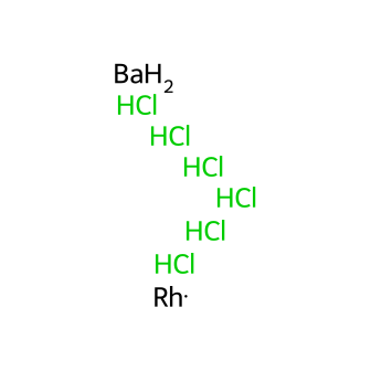 Cl.Cl.Cl.Cl.Cl.Cl.[BaH2].[Rh]